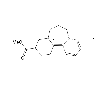 COC(=O)C1CCC2=C3C=CC=CC3CCCC2C1